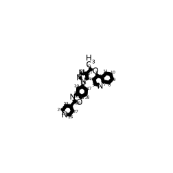 CC(Oc1ccnc2ccccc12)c1cn(-c2ccc3oc(-c4ccncc4)nc3c2)nn1